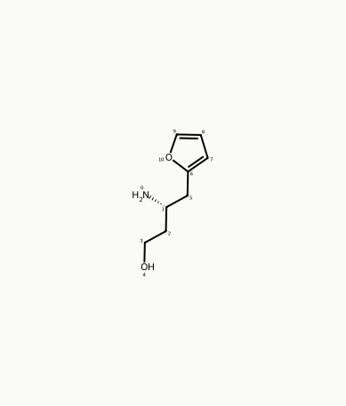 N[C@@H](CCO)Cc1ccco1